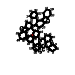 CC1(C)c2ccccc2-c2cccc(N(c3ccc(-c4c(-c5ccc6oc7c(c6c5-c5ccccc5)CCC=C7)ccc5oc6ccccc6c45)cc3)c3ccccc3-c3ccccc3)c21